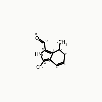 CC1CC=Cc2c(Cl)[nH]c(C=O)c21